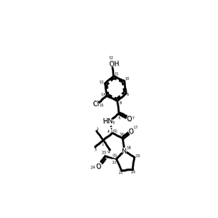 CC(C)(C)[C@H](NC(=O)c1ccc(O)cc1Cl)C(=O)N1CCC[C@H]1C=O